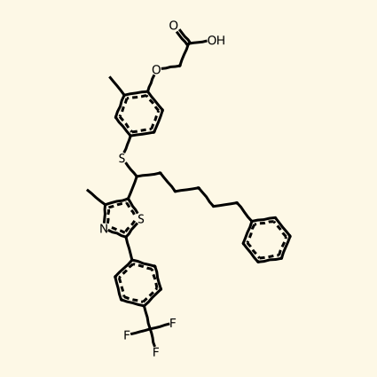 Cc1cc(SC(CCCCCc2ccccc2)c2sc(-c3ccc(C(F)(F)F)cc3)nc2C)ccc1OCC(=O)O